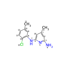 Cc1cc(N)nc(Nc2cc(C)ccc2Cl)c1